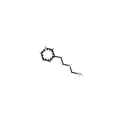 CCSCCc1cccnc1